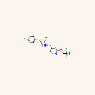 O=C(NCc1ccc(F)cc1)NCc1ccnc(OCC(F)(F)F)c1